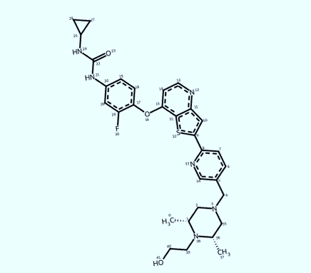 C[C@@H]1CN(Cc2ccc(-c3cc4nccc(Oc5ccc(NC(=O)NC6CC6)cc5F)c4s3)nc2)C[C@H](C)N1CCO